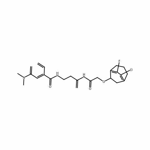 C=C/C(=C\C(=C)N(C)C)C(=O)NCCC(=C)NC(=O)COC1CC2=C(Cl)C(F)=C1CCC2